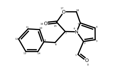 O=Cc1ccc2n1C(Cc1ccccc1)C(=O)OC2